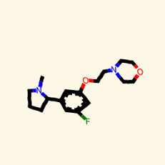 CN1CCCC1c1cc(F)cc(OCCN2CCOCC2)c1